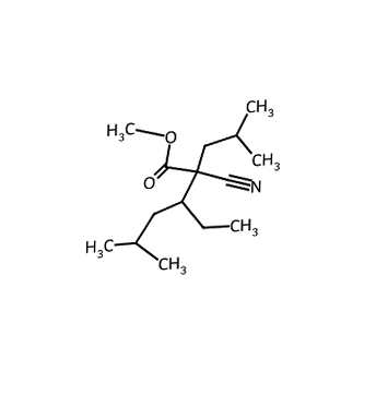 CCC(CC(C)C)C(C#N)(CC(C)C)C(=O)OC